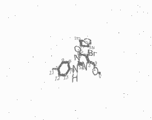 COCc1nc(N[C@H]2CC[C@H](C)CC2)nc(OC2COC2)c1Br